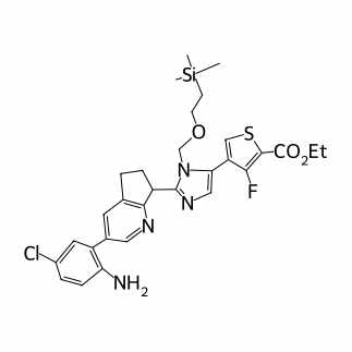 CCOC(=O)c1scc(-c2cnc(C3CCc4cc(-c5cc(Cl)ccc5N)cnc43)n2COCC[Si](C)(C)C)c1F